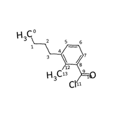 CCCCc1cccc(C(=O)Cl)c1C